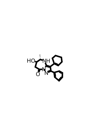 C[C@@H]1Nc2c(C3=CCCCC3)c(-c3ccccc3)nn2C(=O)CC1O